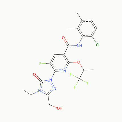 CCn1c(CO)nn(-c2nc(OC(C)C(F)(F)F)c(C(=O)Nc3c(Cl)ccc(C)c3C)cc2F)c1=O